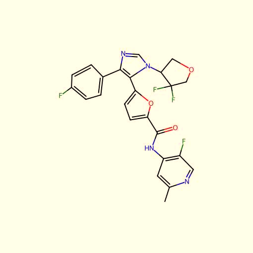 Cc1cc(NC(=O)c2ccc(-c3c(-c4ccc(F)cc4)ncn3C3COCC3(F)F)o2)c(F)cn1